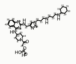 O=C(CO[PH](=O)O)N1CCC(Nc2nc(NCc3cn(CCCNCCCNC4CCCCC4)nn3)nc3ccccc23)CC1